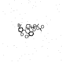 COc1ccc(Br)cc1CCc1c(Cl)cccc1C1=NCCCN1C(=O)OC(C)OC(C)=O